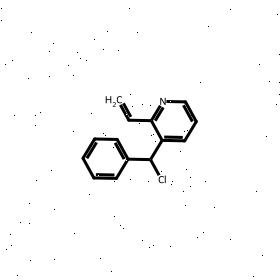 C=Cc1ncccc1C(Cl)c1ccccc1